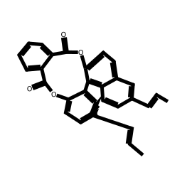 C/C=C/c1ccc2c(ccc3oc(=O)c4ccccc4c(=O)oc4ccc5cc(/C=C/C)ccc5c4c32)c1